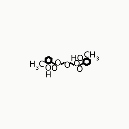 Cc1cccc(C(=O)OCCOCCOC(=O)c2cccc(C)c2O)c1O